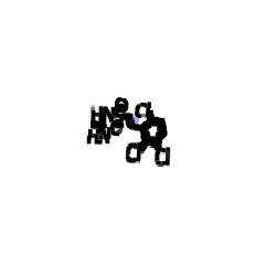 CC(=N)NS(=O)(=O)/C=C/c1c(Cl)ccc(Cl)c1Cl